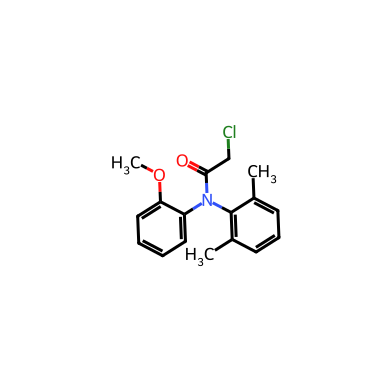 COc1ccccc1N(C(=O)CCl)c1c(C)cccc1C